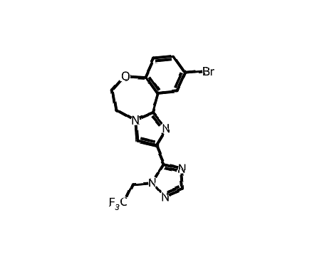 FC(F)(F)Cn1ncnc1-c1cn2c(n1)-c1cc(Br)ccc1OCC2